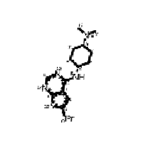 CC(C)c1cc2c(N[C@H]3CC[C@H](N(C)C)CC3)ncnc2s1